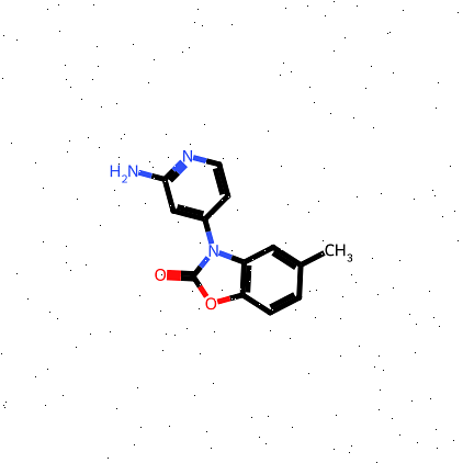 Cc1ccc2oc(=O)n(-c3ccnc(N)c3)c2c1